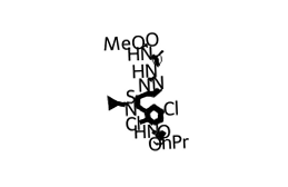 CCCS(=O)(=O)Nc1cc(Cl)cc(-c2nc(C3CC3)sc2-c2ccnc(NC[C@H](C)NC(=O)OC)n2)c1Cl